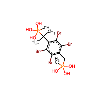 CC(C)(c1c(Br)c(Br)c(CP(C)(O)(O)O)c(Br)c1Br)P(C)(O)(O)O